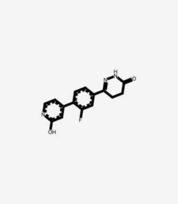 O=C1CCC(c2ccc(-c3ccnc(O)c3)c(F)c2)=NN1